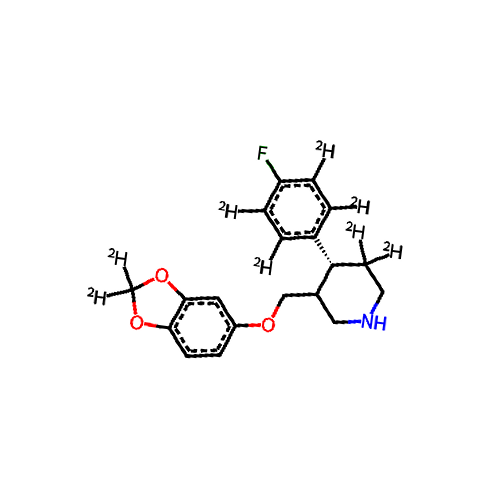 [2H]c1c([2H])c([C@H]2C(COc3ccc4c(c3)OC([2H])([2H])O4)CNCC2([2H])[2H])c([2H])c([2H])c1F